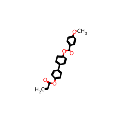 C=CC(=O)Oc1ccc(-c2ccc(OC(=O)c3ccc(OC)cc3)cc2)cc1